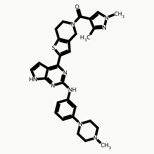 Cc1nn(C)cc1C(=O)N1CCc2sc(-c3nc(Nc4cccc(N5CCN(C)CC5)c4)nc4[nH]ccc34)cc2C1